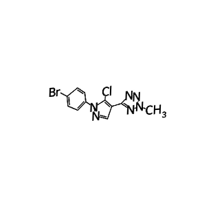 Cn1nnc(-c2cnn(-c3ccc(Br)cc3)c2Cl)n1